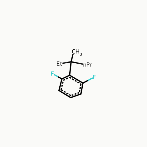 CCCC(C)(CC)c1c(F)cccc1F